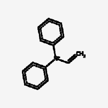 C=C[N+](c1ccccc1)c1ccccc1